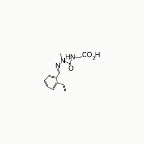 C=Cc1ccccc1C=NN(C)C(=O)NCC(=O)O